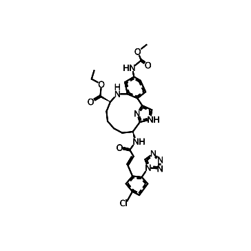 CCOC(=O)[C@@H]1CCCC[C@H](NC(=O)C=Cc2cc(Cl)ccc2-n2cnnn2)c2nc(c[nH]2)-c2ccc(NC(=O)OC)cc2N1